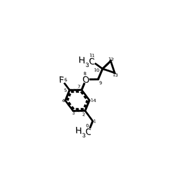 CCc1ccc(F)c(OCC2(C)CC2)c1